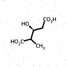 CC(C(=O)O)[C@@H](O)CC(=O)O